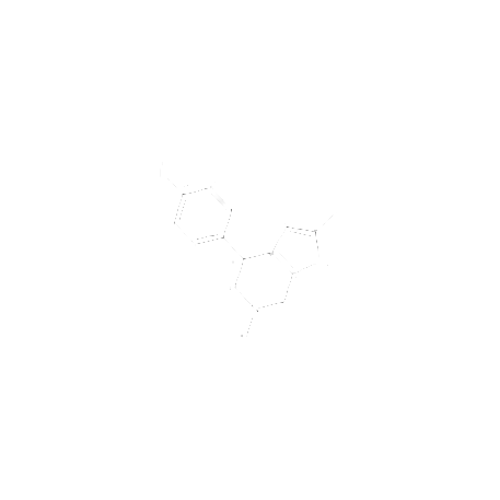 Cc1cc2c(o1)CN(C)CC2c1ccc(F)cc1